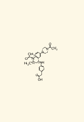 CC(=O)N1CCN(c2ccc3c(c2)[C@@H](Nc2ccc(CC(=O)O)cc2)C[C@@H](C)N3C(C)=O)CC1